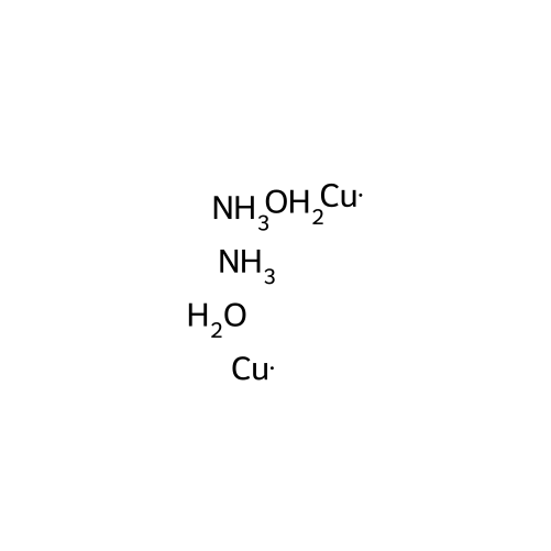 N.N.O.O.[Cu].[Cu]